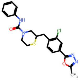 O=C(Nc1ccccc1)N1CCSC(Cc2ccc(-c3nnc(C(F)(F)F)o3)cc2Cl)C1